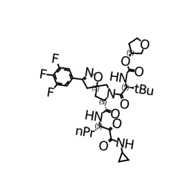 CCC[C@H](NC(=O)[C@@H]1C[C@]2(CC(c3cc(F)c(F)c(F)c3)=NO2)CN1C(=O)[C@@H](NC(=O)O[C@H]1CCOC1)C(C)(C)C)C(=O)C(=O)NC1CC1